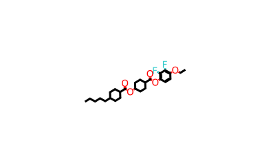 CCCCCC1CCC(C(=O)OC2CCC(C(=O)Oc3ccc(OCC)c(F)c3F)CC2)CC1